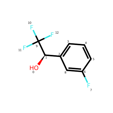 O[C@H](c1cc[c]c(F)c1)C(F)(F)F